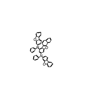 c1ccc(N(c2ccc3c(c2)oc2ccccc23)c2cc(N(c3ccccc3)c3ccc4c(c3)oc3ccccc34)c3c(c2)oc2c4ccccc4ccc23)cc1